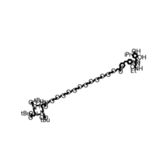 CCNC(=O)c1nnc(-c2cc(C(C)C)c(O)cc2O)n1-c1ccc(CC2CCN(C(=O)CCOCCOCCOCCOCCOCCOCCOCCOCCOCCOCCOCCOCCNC(=O)CN3CCN(CC(=O)OC(C)(C)C)CCN(CC(=O)OC(C)(C)C)CCN(CC(=O)OC(C)(C)C)CC3)CC2)cc1